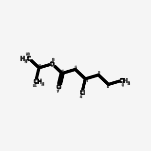 CCCC(Cl)CC(=O)OC(C)C